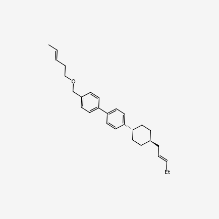 CC=CCCOCc1ccc(-c2ccc([C@H]3CC[C@H](CC=CCC)CC3)cc2)cc1